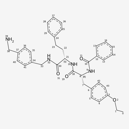 CCOc1ccc(C[C@@H](NC(=O)c2ccccc2)C(=O)N[C@@H](CCc2ccccc2)C(=O)NCc2ccc(CN)cc2)cc1